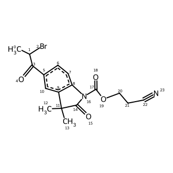 CC(Br)C(=O)c1ccc2c(c1)C(C)(C)C(=O)N2C(=O)OCCC#N